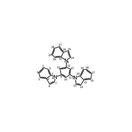 c1ccc2c(c1)ccn2-c1cc(-n2ccc3ccccc32)cc(-n2ccc3ccccc32)c1